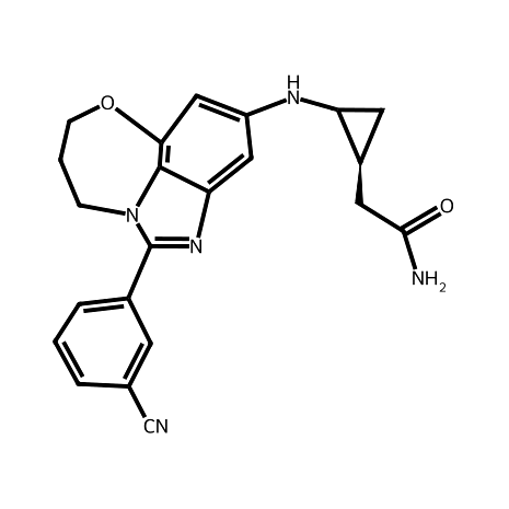 N#Cc1cccc(-c2nc3cc(N[C]4C[C@H]4CC(N)=O)cc4c3n2CCCO4)c1